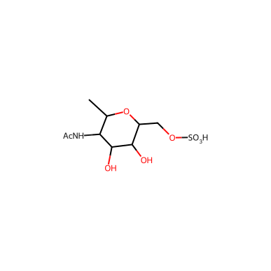 CC(=O)NC1C(C)OC(COS(=O)(=O)O)C(O)C1O